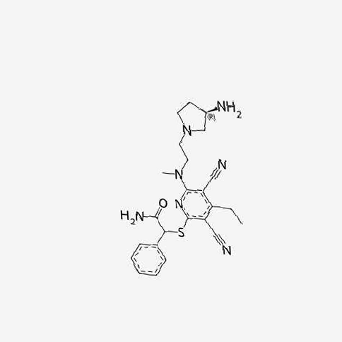 CCc1c(C#N)c(SC(C(N)=O)c2ccccc2)nc(N(C)CCN2CC[C@@H](N)C2)c1C#N